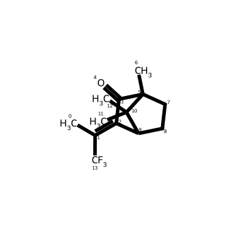 C/C(=C1\C(=O)C2(C)CCC1C2(C)C)C(F)(F)F